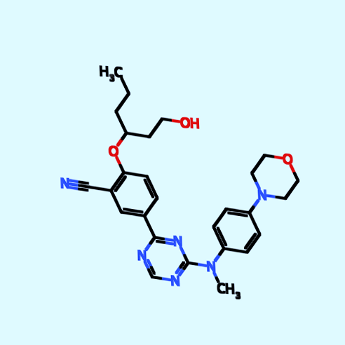 CCCC(CCO)Oc1ccc(-c2ncnc(N(C)c3ccc(N4CCOCC4)cc3)n2)cc1C#N